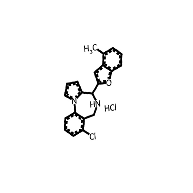 Cc1cccc2oc(C3NCc4c(Cl)cccc4-n4cccc43)cc12.Cl